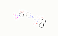 O=C1c2cccc3cccc(c23)C(O)N1CCN1CCC(O)(c2ccc([N+](=O)[O-])cc2)CC1